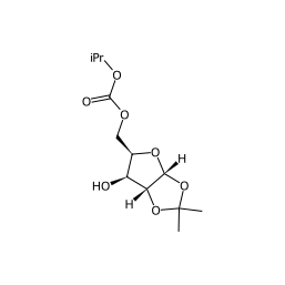 CC(C)OC(=O)OC[C@H]1O[C@@H]2OC(C)(C)O[C@@H]2[C@H]1O